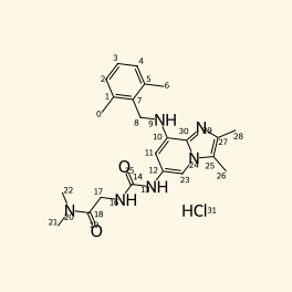 Cc1cccc(C)c1CNc1cc(NC(=O)NCC(=O)N(C)C)cn2c(C)c(C)nc12.Cl